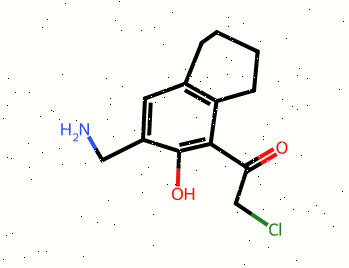 NCc1cc2c(c(C(=O)CCl)c1O)CCCC2